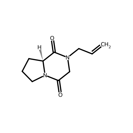 C=CCN1CC(=O)N2CCC[C@H]2C1=O